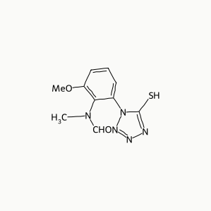 COc1cccc(-n2nnnc2S)c1N(C)C=O